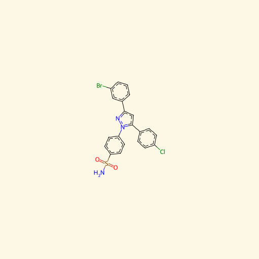 NS(=O)(=O)c1ccc(-n2nc(-c3cccc(Br)c3)cc2-c2ccc(Cl)cc2)cc1